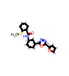 CSc1ccccc1C(=O)Nc1cccc(-c2nnc(-c3ccco3)o2)c1